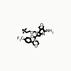 C[Si](C)(C)CCOCn1c(C(=O)N2CCOC[C@@H]2c2ccc(C(F)(F)F)cc2)cc2nc(N)c3c(c21)COC3